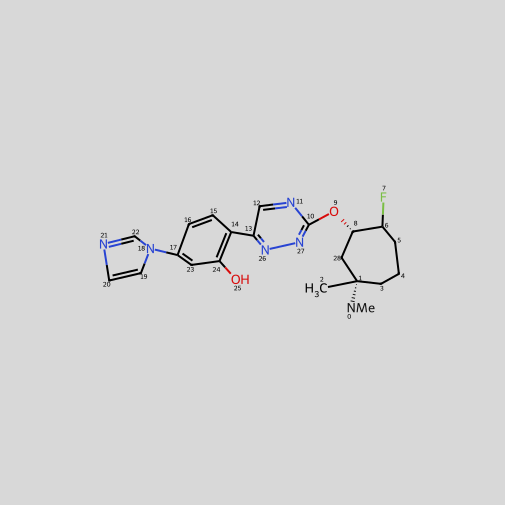 CN[C@@]1(C)CCCC(F)[C@@H](Oc2ncc(-c3ccc(-n4ccnc4)cc3O)nn2)C1